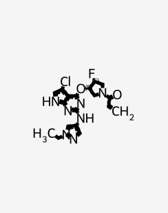 C=CC(=O)N1C[C@H](F)[C@H](Oc2nc(Nc3cnn(CC)c3)nc3[nH]cc(Cl)c23)C1